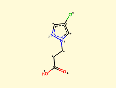 O=C(O)CCn1cc(Cl)cn1